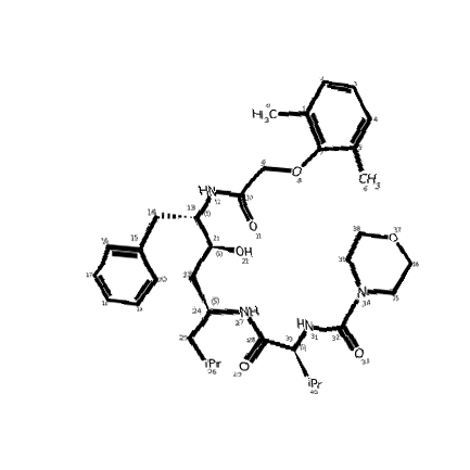 Cc1cccc(C)c1OCC(=O)N[C@@H](Cc1ccccc1)[C@@H](O)C[C@H](CC(C)C)NC(=O)[C@@H](NC(=O)N1CCOCC1)C(C)C